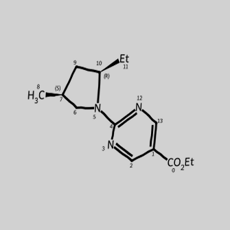 CCOC(=O)c1cnc(N2C[C@@H](C)C[C@H]2CC)nc1